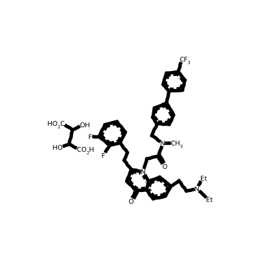 CCN(CC)CCc1ccc2c(=O)cc(CCc3cccc(F)c3F)n(CC(=O)N(C)Cc3ccc(-c4ccc(C(F)(F)F)cc4)cc3)c2c1.O=C(O)C(O)C(O)C(=O)O